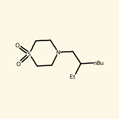 CCCCC(CC)CN1CCS(=O)(=O)CC1